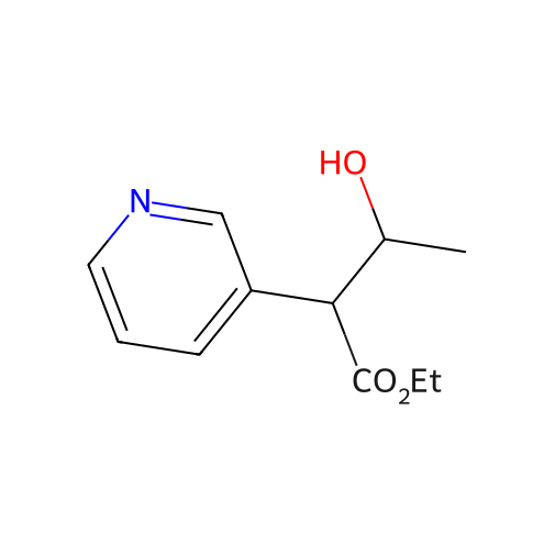 CCOC(=O)C(c1cccnc1)C(C)O